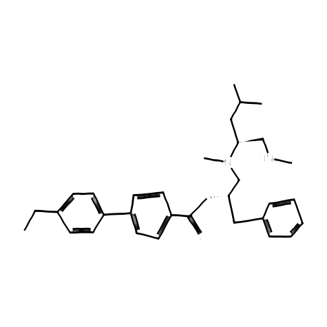 CCc1ccc(-c2ccc(C(=O)C[C@@H](Cc3ccccc3)CN(C)[C@H](CNC)CC(C)C)cc2)cc1